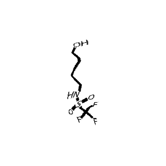 O=S(=O)(NCCCCO)C(F)(F)F